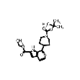 CCOC(=O)c1cc2ccnc(C3CCN(C(=O)OC(C)(C)C)CC3)c2[nH]1